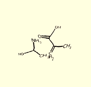 C=C(C)C(=O)O.CC(N)O